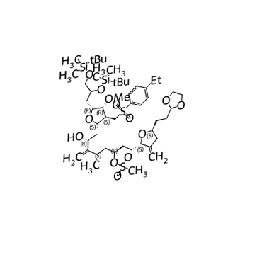 C=C1C[C@H](CCC2OCCO2)O[C@H]1CC[C@H](C[C@H](C)C(=C)[C@H](O)C[C@@H]1O[C@H](CC(CO[Si](C)(C)C(C)(C)C)O[Si](C)(C)C(C)(C)C)[C@H](OC)[C@H]1CS(=O)(=O)c1ccc(CC)cc1)OS(C)(=O)=O